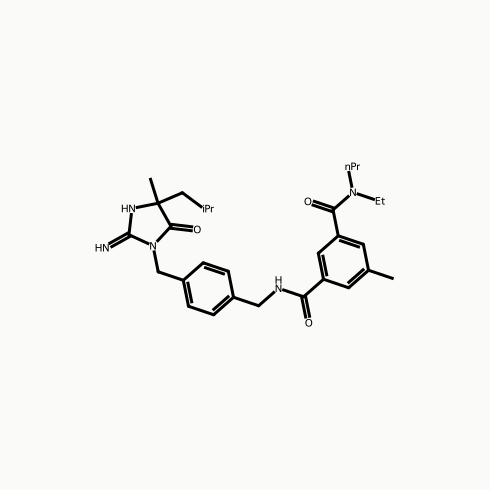 CCCN(CC)C(=O)c1cc(C)cc(C(=O)NCc2ccc(CN3C(=N)NC(C)(CC(C)C)C3=O)cc2)c1